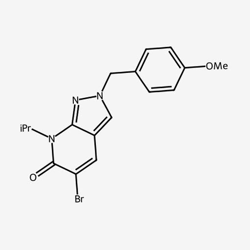 COc1ccc(Cn2cc3cc(Br)c(=O)n(C(C)C)c3n2)cc1